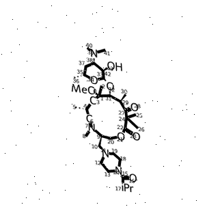 CO[C@]1(C)C[C@@H](C)CN(C)[C@H](CN2CCN(C(=O)C(C)C)CC2)COC(=O)C(C)(C)C(=O)[C@H](C)[C@H]1O[C@@H]1O[C@H](C)C[C@H](N(C)C)[C@H]1O